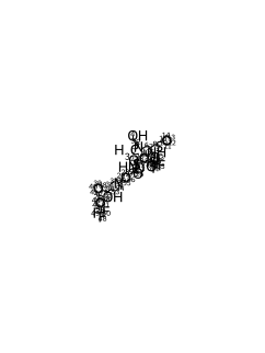 CN(CCO)CCC(CSc1ccccc1)Nc1ccc(S(=O)(=O)NC(=O)c2ccc(N3CCC([C@@H](O)c4ccccc4-c4ccc(C(F)(F)F)cc4)CC3)cc2)cc1S(=O)(=O)C(F)(F)F